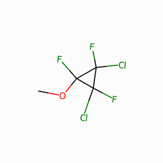 COC1(F)C(F)(Cl)C1(F)Cl